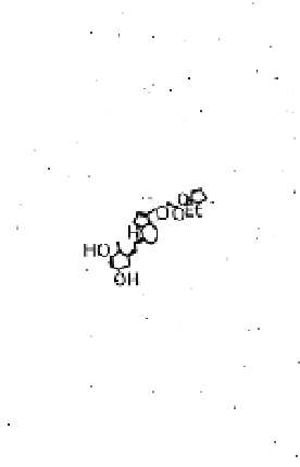 C=C1C(=CC=C2CCC[C@]3(C)C([C@H](C)OCC(=O)OC4(CC)CCCC4)=CC[C@@H]23)C[C@@H](O)C[C@@H]1O